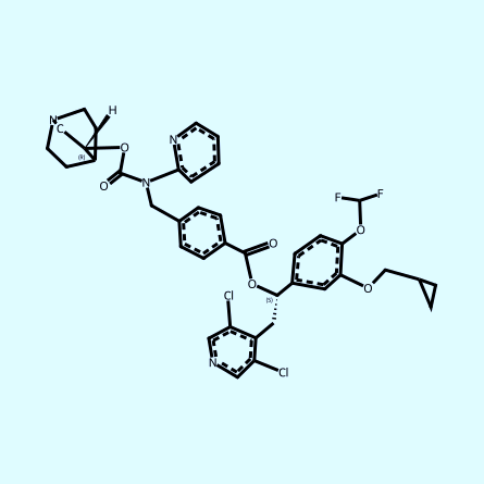 O=C(O[C@@H](Cc1c(Cl)cncc1Cl)c1ccc(OC(F)F)c(OCC2CC2)c1)c1ccc(CN(C(=O)O[C@H]2CN3CCC2CC3)c2ccccn2)cc1